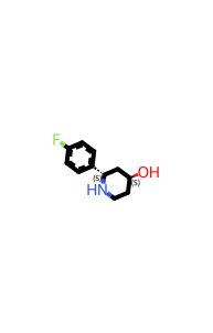 O[C@H]1CCN[C@H](c2ccc(F)cc2)C1